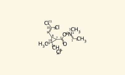 CC=[N+](C)OC(=O)C1C(C=C(Cl)Cl)C1(C)C.[Cl-]